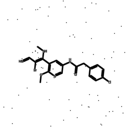 CN/C(=C(/Br)C=N)c1cc(NC(=O)Cc2ccc(Cl)cc2)cnc1OC